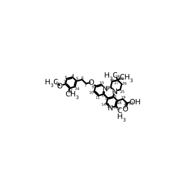 COc1ccc(CCOc2ccc(-c3cnc(C)c(CC(=O)O)c3N3CCC(C)(C)CC3)nc2)cc1C